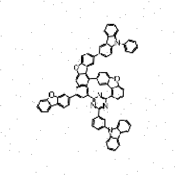 c1ccc(-n2c3ccccc3c3cc(-c4ccc5oc6cccc(-c7ccc8oc9cccc(-c%10nc(-c%11cccc(-c%12ccc%13c(c%12)oc%12ccccc%12%13)c%11)nc(-c%11cccc(-n%12c%13ccccc%13c%13ccccc%13%12)c%11)n%10)c9c8c7)c6c5c4)ccc32)cc1